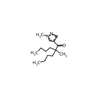 CCCCC(C)(CCCC)C(=O)c1cnn(C)c1